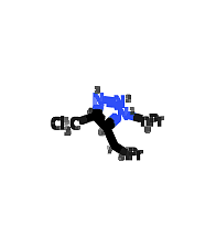 CCCn1nnc(C(Cl)(Cl)Cl)c1CC(C)C